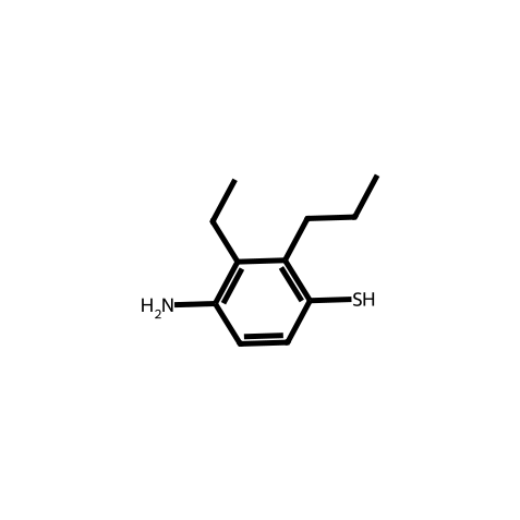 CCCc1c(S)ccc(N)c1CC